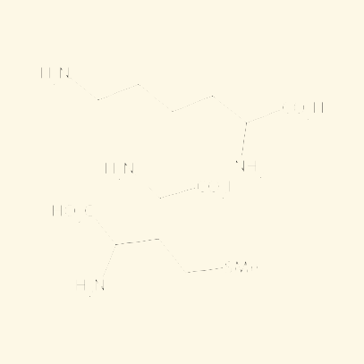 CSCCC(N)C(=O)O.NCC(=O)O.NCCCCC(N)C(=O)O